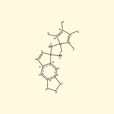 CC1=C(C)[C](C)([Hf][C]2(C(C)C)C=Cc3cc4c(cc32)CCC4)C(C)=C1C